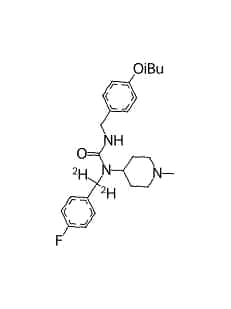 [2H]C([2H])(c1ccc(F)cc1)N(C(=O)NCc1ccc(OCC(C)C)cc1)C1CCN(C)CC1